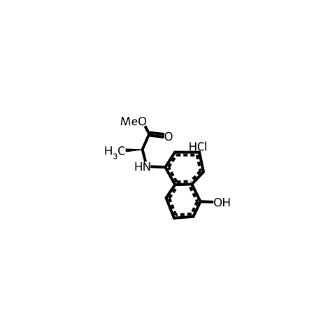 COC(=O)[C@H](C)Nc1cccc2c(O)cccc12.Cl